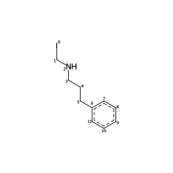 ICNCCCc1ccccc1